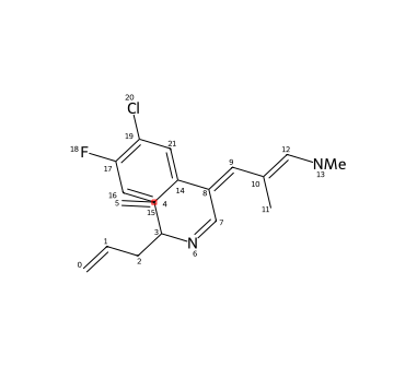 C=CCC(C=C)\N=C/C(=C\C(C)=C\NC)c1ccc(F)c(Cl)c1